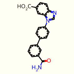 NC(=O)c1cccc(-c2ccc(-n3cnc4ccc(C(=O)O)cc43)cc2)c1